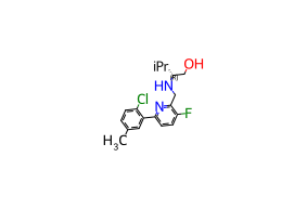 Cc1ccc(Cl)c(-c2ccc(F)c(CN[C@@H](CO)C(C)C)n2)c1